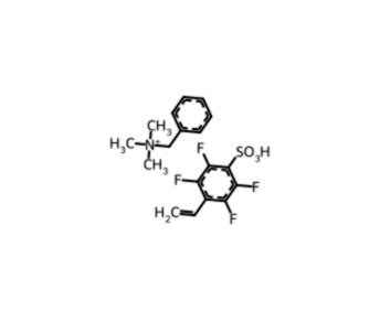 C=Cc1c(F)c(F)c(S(=O)(=O)O)c(F)c1F.C[N+](C)(C)Cc1ccccc1